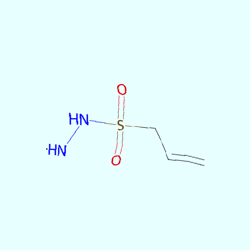 C=CCS(=O)(=O)N[NH]